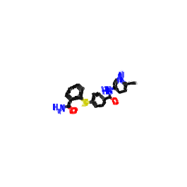 CC1CC2CCN1CC2NC(=O)c1ccc(Sc2ccccc2C(N)=O)cc1